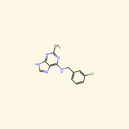 Cc1nc(NCc2cccc(Cl)c2)c2nc[nH]c2n1